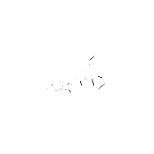 C=CCN[C@@H](C(=O)N[C@@H]1C(=O)N2CC(C)(C)SC12)c1ccccc1